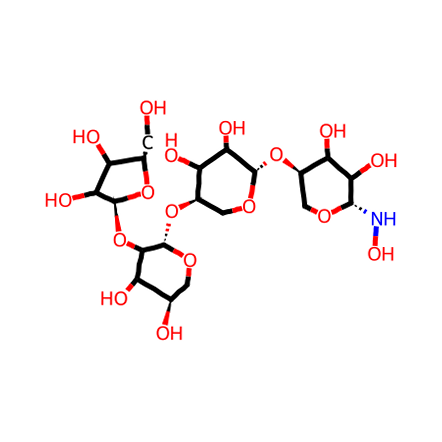 OC[C@@H]1O[C@@H](OC2C(O)[C@H](O)CO[C@H]2O[C@@H]2CO[C@@H](O[C@@H]3CO[C@@H](NO)C(O)C3O)C(O)C2O)C(O)C1O